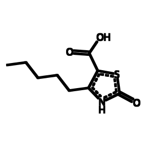 CCCCCc1[nH]c(=O)sc1C(=O)O